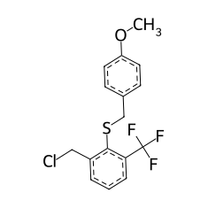 COc1ccc(CSc2c(CCl)cccc2C(F)(F)F)cc1